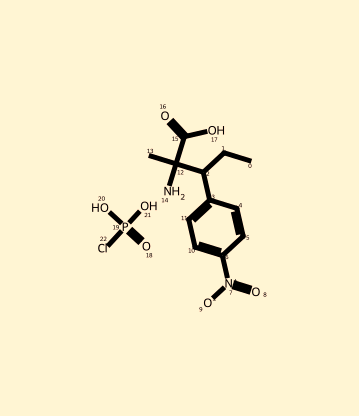 CCC(c1ccc([N+](=O)[O-])cc1)C(C)(N)C(=O)O.O=P(O)(O)Cl